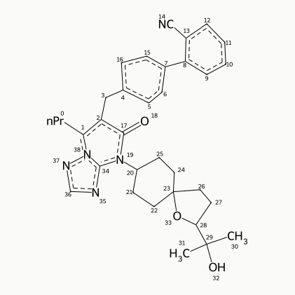 CCCc1c(Cc2ccc(-c3ccccc3C#N)cc2)c(=O)n(C2CCC3(CC2)CCC(C(C)(C)O)O3)c2ncnn12